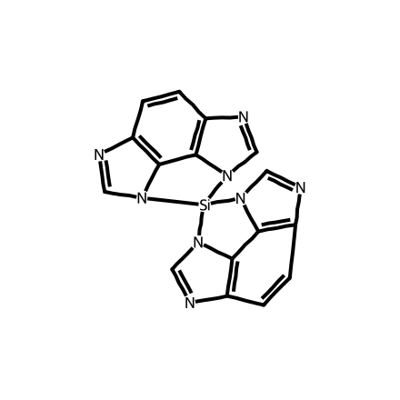 c1cc2ncn3c2c2c1ncn2[Si]31n2cnc3ccc4ncn1c4c32